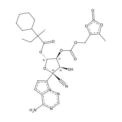 CCC(C)(C(=O)O[C@H]1O[C@@](C#N)(c2ccc3c(N)ncnn23)[C@H](O)[C@@H]1OC(=O)OCc1oc(=O)oc1C)C1CCCCC1